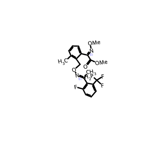 CO/N=C(/C(=O)OC)c1cccc(C)c1CO/N=C(\C)c1c(F)cccc1C(F)(F)P